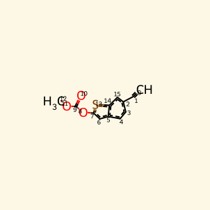 C#Cc1ccc2cc(OC(=O)OC)sc2c1